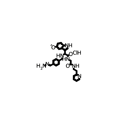 COc1ccc2[nH]cc(C(NCc3ccc(C=NN)cc3)C(=O)NCC(=O)NCCc3ccccn3)c2c1.Cl